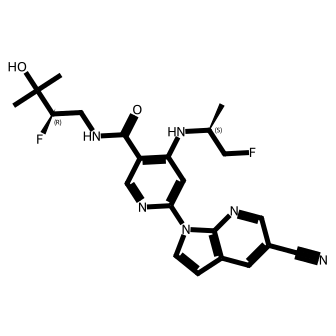 C[C@@H](CF)Nc1cc(-n2ccc3cc(C#N)cnc32)ncc1C(=O)NC[C@@H](F)C(C)(C)O